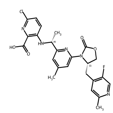 Cc1cc([C@@H](C)Nc2ccc(Cl)nc2C(=O)O)nc(N2C(=O)OC[C@@H]2Cc2cc(C)ncc2F)c1